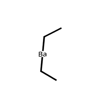 C[CH2][Ba][CH2]C